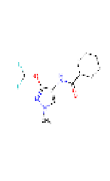 Cn1cc(NC(=O)C2CCCCC2)c(OC(F)F)n1